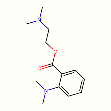 CN(C)CCOC(=O)c1ccccc1N(C)C